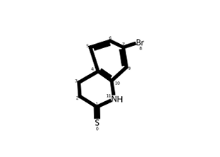 S=C1CCc2ccc(Br)cc2N1